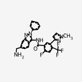 Cn1ccc(-c2cc(C(=O)Nc3c4ccc(CN)cc4nn3-c3ccccc3)c(F)cc2C(F)(F)F)n1